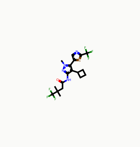 Cn1nc(NC(=O)CC(C)(C)C(F)(F)F)c(C2CCC2)c1-c1cnc(C(F)(F)F)s1